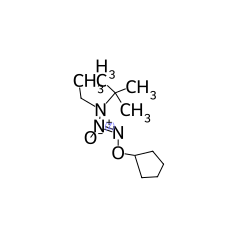 CCN(/[N+]([O-])=N/OC1CCCC1)C(C)(C)C